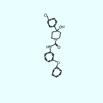 O=C(Nc1cccc(Oc2ccccc2)c1)N1CCC(O)(c2ccc(Cl)cc2)CC1